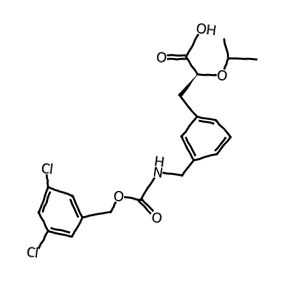 CC(C)O[C@@H](Cc1cccc(CNC(=O)OCc2cc(Cl)cc(Cl)c2)c1)C(=O)O